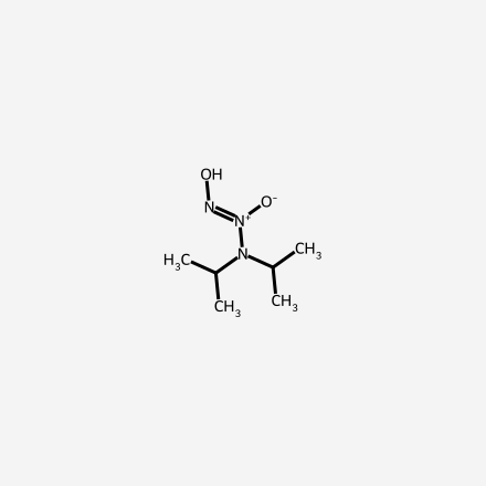 CC(C)N(C(C)C)/[N+]([O-])=N/O